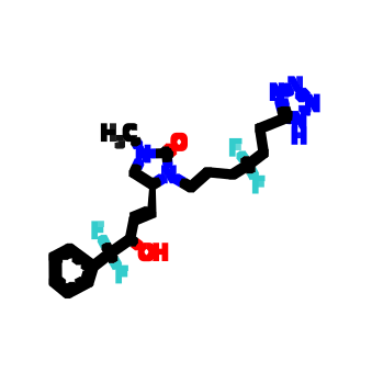 CN1C[C@H](/C=C/C(O)C(F)(F)c2ccccc2)N(CCCC(F)(F)CCc2nnn[nH]2)C1=O